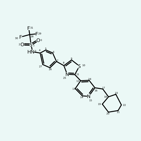 O=S(=O)(Nc1ccc(-c2csc(-c3ccnc(CC4CCCCC4)c3)n2)cc1)C(F)(F)F